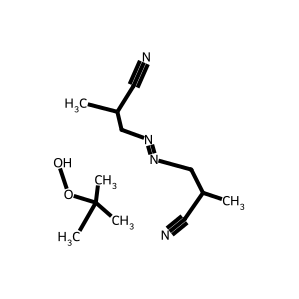 CC(C#N)CN=NCC(C)C#N.CC(C)(C)OO